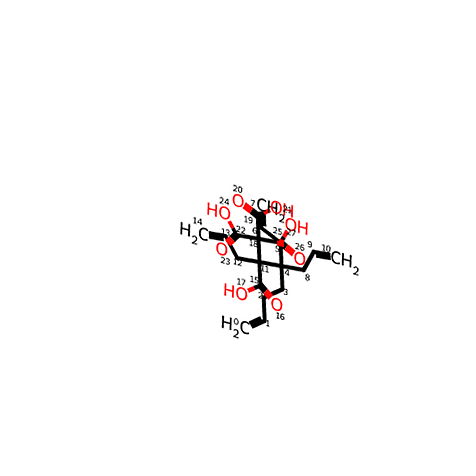 C=CCCC(CC=C)(CC=C)C(CC=C)(C(=O)O)C(C(=O)O)(C(=O)O)C(=O)O